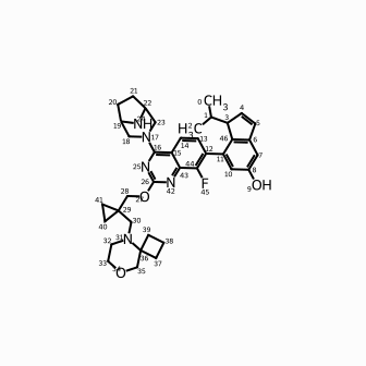 CC(C)C1C=Cc2cc(O)cc(-c3ccc4c(N5CC6CCC(C5)N6)nc(OCC5(CN6CCOCC67CCC7)CC5)nc4c3F)c21